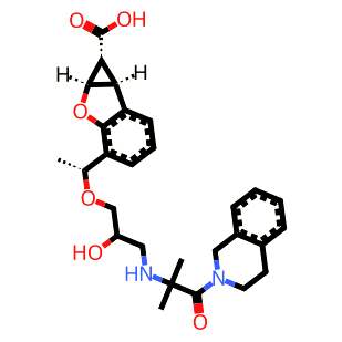 C[C@@H](OCC(O)CNC(C)(C)C(=O)N1CCc2ccccc2C1)c1cccc2c1O[C@H]1[C@H](C(=O)O)[C@@H]21